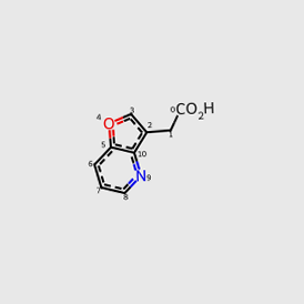 O=C(O)Cc1coc2cccnc12